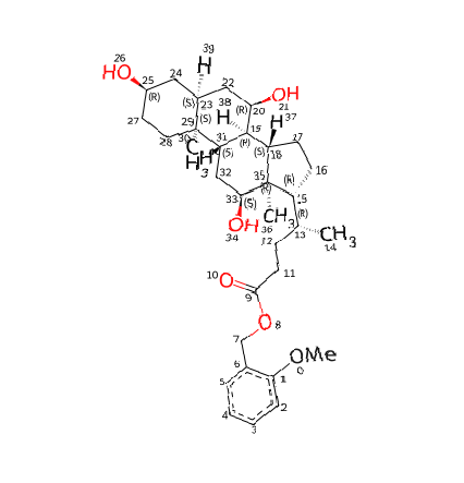 COc1ccccc1COC(=O)CC[C@@H](C)[C@H]1CC[C@H]2[C@@H]3[C@H](O)C[C@@H]4C[C@H](O)CC[C@]4(C)[C@H]3C[C@H](O)[C@]12C